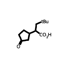 CC(C)(C)CC(C(=O)O)C1CCC(=O)C1